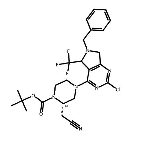 CC(C)(C)OC(=O)N1CCN(c2nc(Cl)nc3c2C(C(F)(F)F)N(Cc2ccccc2)C3)C[C@@H]1CC#N